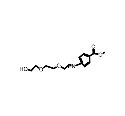 COC(=O)c1ccc(NCCOCCOCCO)cc1